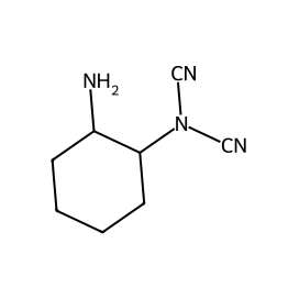 N#CN(C#N)C1CCCCC1N